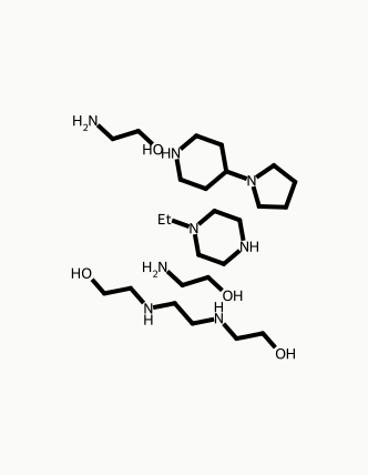 C1CCN(C2CCNCC2)C1.CCN1CCNCC1.NCCO.NCCO.OCCNCCNCCO